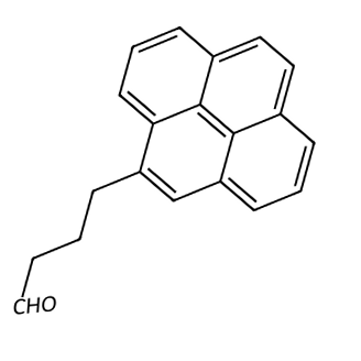 O=CCCCc1cc2cccc3ccc4cccc1c4c32